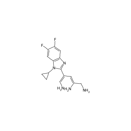 N/C=C(\C=C(/N)CN)c1nc2cc(F)c(F)cc2n1C1CC1